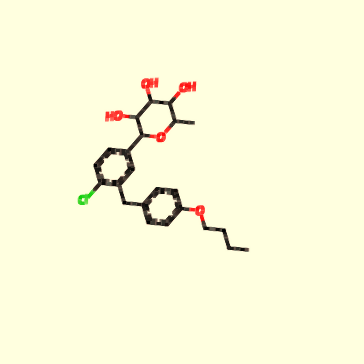 CCCCOc1ccc(Cc2cc(C3OC(C)C(O)C(O)C3O)ccc2Cl)cc1